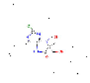 CN1c2nc(Cl)ncc2NC(=O)C1(CO)CO